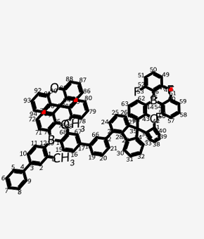 Cc1cc(-c2ccccc2)ccc1B(c1ccc(-c2cccc(-c3cccc4c3-c3ccccc3C43c4ccccc4Oc4c(B(c5c(F)cccc5F)c5c(F)cccc5F)cccc43)c2)cc1C)c1cccc2c1Oc1ccccc1C21c2ccccc2Oc2ccccc21